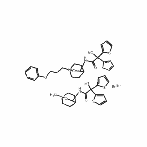 C[N+]12CCC(CC1)C(NC(=O)C(O)(c1cccs1)c1cccs1)C2.O=C(NC1C[N+]2(CCCOc3ccccc3)CCC1CC2)C(O)(c1cccs1)c1cccs1.[Br-].[Br-]